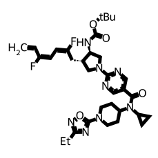 C=C/C(F)=C\C=C(\F)C[C@H]1CN(c2ncc(C(=O)N(C3CC3)C3CCN(c4nc(CC)no4)CC3)cn2)C[C@@H]1NC(=O)OC(C)(C)C